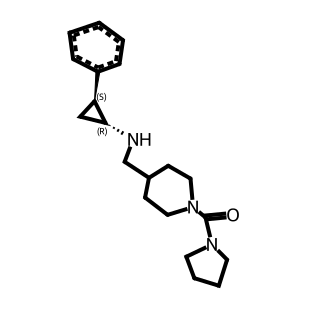 O=C(N1CCCC1)N1CCC(CN[C@@H]2C[C@H]2c2ccccc2)CC1